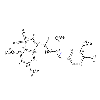 COCC(N/N=C/c1ccc(O)c(OC)c1)C1=NS(=O)(=O)c2c(OC)cc(OC)cc21